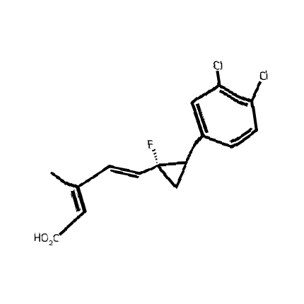 CC(C=C[C@]1(F)CC1c1ccc(Cl)c(Cl)c1)=CC(=O)O